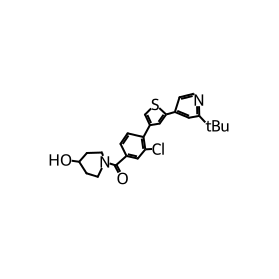 CC(C)(C)c1cc(-c2cc(-c3ccc(C(=O)N4CCC(O)CC4)cc3Cl)cs2)ccn1